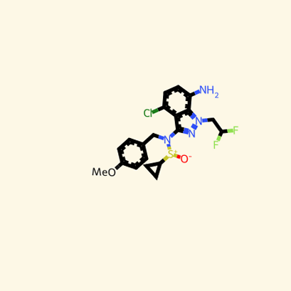 COc1ccc(CN(c2nn(CC(F)F)c3c(N)ccc(Cl)c23)[S+]([O-])C2CC2)cc1